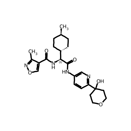 Cc1nocc1C(=O)N[C@H](C(=O)Nc1ccc(C2(O)CCOCC2)nc1)[C@H]1CC[C@H](C)CC1